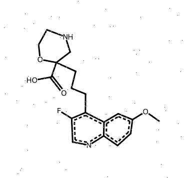 COc1ccc2ncc(F)c(CCCC3(C(=O)O)CNCCO3)c2c1